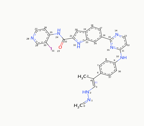 C=NN/C=C(\C)c1ccc(Nc2ccnc(-c3ccc4cc(C(=O)Nc5ccncc5I)[nH]c4c3)n2)cc1